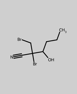 CCCC(O)C(Br)(C#N)CBr